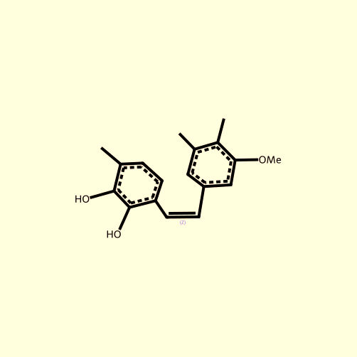 COc1cc(/C=C\c2ccc(C)c(O)c2O)cc(C)c1C